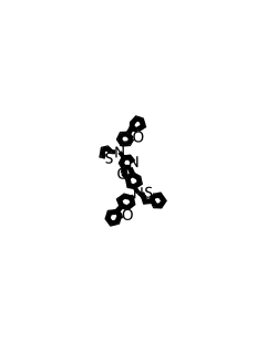 c1csc(N(c2ccc3c(c2)oc2ccccc23)c2cnc3c(c2)oc2cc(N(c4ccc5c(c4)oc4ccccc45)c4cc5ccccc5s4)ccc23)c1